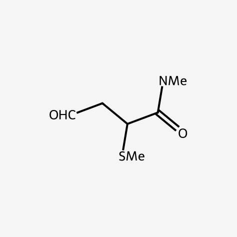 CNC(=O)C(CC=O)SC